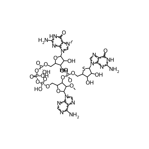 COC1C(OP(=O)(O)OCC2SC(n3cnc4c(=O)[nH]c(N)nc43)C(O)C2O)C(COP(=O)(O)OP(=O)(O)OP(=O)(O)OCC2OC(n3c[n+](C)c4c(=O)[nH]c(N)nc43)C(O)C2O)OC1n1cnc2c(N)ncnc21